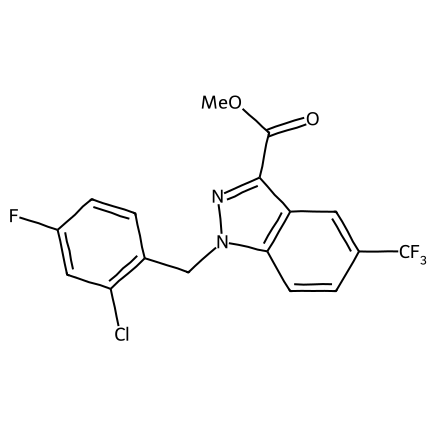 COC(=O)c1nn(Cc2ccc(F)cc2Cl)c2ccc(C(F)(F)F)cc12